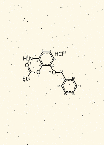 CCC(=O)Oc1c(N)cccc1OCc1ccccc1.Cl